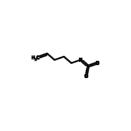 C=CCCCN=S(=O)=O